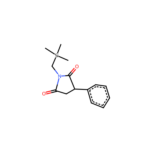 C[Si](C)(C)CN1C(=O)CC(c2ccccc2)C1=O